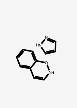 C1=Cc2ccccc2ON1.c1cn[nH]c1